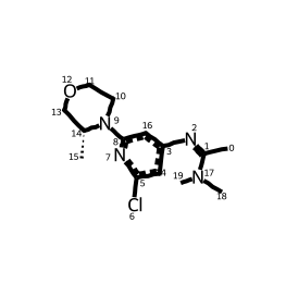 CC(=Nc1cc(Cl)nc(N2CCOC[C@H]2C)c1)N(C)C